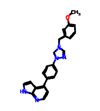 COc1cccc(CN2C=NN(c3ccc(-c4ccnc5[nH]ccc45)cc3)C2)c1